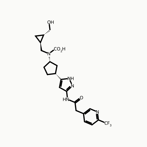 O=C(Cc1ccc(C(F)(F)F)nc1)Nc1cc([C@@H]2CC[C@H](N(C[C@H]3C[C@@H]3CO)C(=O)O)C2)[nH]n1